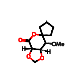 CO[C@H]1[C@H]2OCO[C@@H]2C(=O)OC12C[CH]CC2